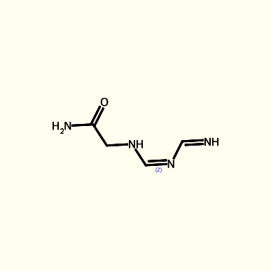 N=C/N=C\NCC(N)=O